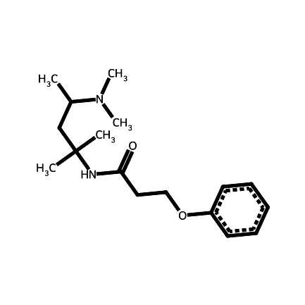 CC(CC(C)(C)NC(=O)CCOc1ccccc1)N(C)C